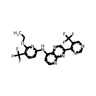 CCOc1nc(Nc2ccnc3nc(-c4ncncc4C(F)(F)F)cnc23)ccc1C(F)(F)F